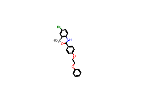 O=C(Nc1ccc(Br)cc1C(=O)O)c1ccc(OCCOc2ccccc2)cc1